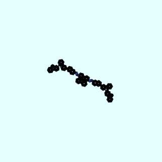 CC1(C)c2ccccc2-c2ccc(-n3c4ccccc4c4cc(-c5ccc6cc(/C=C/c7ccc8c(c7)C7(C9=C(CCC=C9)c9ccccc97)c7cc(/C=C/c9ccc%10cc(-c%11ccc%12c(c%11)c%11ccccc%11n%12-c%11ccc%12c(c%11)C(C)(C)c%11ccccc%11-%12)ccc%10c9)ccc7-8)ccc6c5)ccc43)cc21